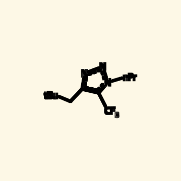 CCCn1nnc(CC(C)(C)C)c1C(F)(F)F